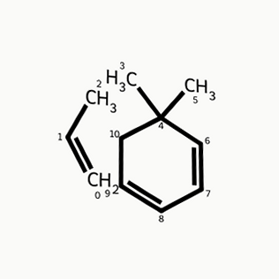 C=CC.CC1(C)C=CC=CC1